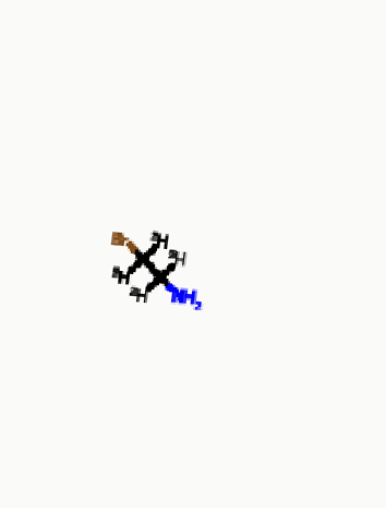 [2H]C([2H])(N)C([2H])([2H])Br